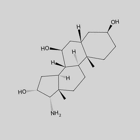 C[C@]12CC[C@H](O)C[C@H]1C[C@H](O)[C@@H]1[C@@H]2CC[C@]2(C)[C@H](N)[C@H](O)C[C@@H]12